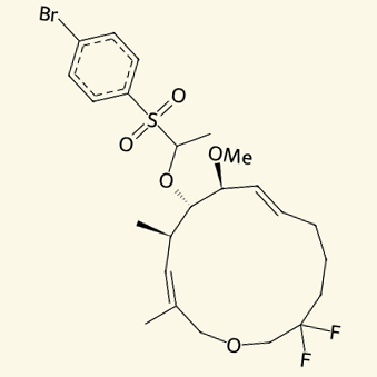 CO[C@H]1/C=C/CCCC(F)(F)COC/C(C)=C\[C@@H](C)[C@@H]1OC(C)S(=O)(=O)c1ccc(Br)cc1